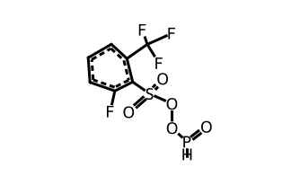 C[PH](=O)OOS(=O)(=O)c1c(F)cccc1C(F)(F)F